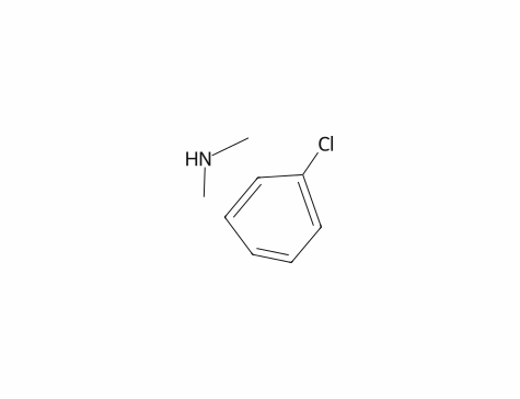 CNC.Clc1ccccc1